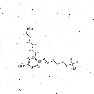 CCC(C)(C)CCCCCCc1ccc(O)cc1CCCCCCC(C)(C)C